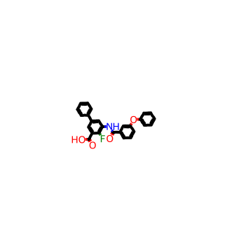 O=C(Nc1cc(-c2ccccc2)cc(C(=O)O)c1F)c1cccc(Oc2ccccc2)c1